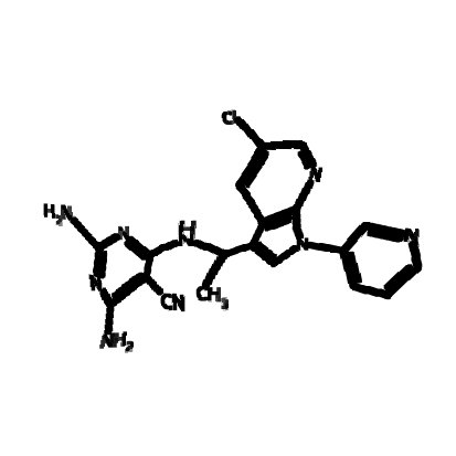 CC(Nc1nc(N)nc(N)c1C#N)c1cn(-c2cccnc2)c2ncc(Cl)cc12